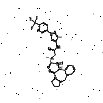 Cc1nn(-c2ccc(C(F)(F)F)nc2)cc1NC(=O)C[C@@H](C)C(=O)N[C@@H]1C(=O)N2CCCN2Cc2ccccc21